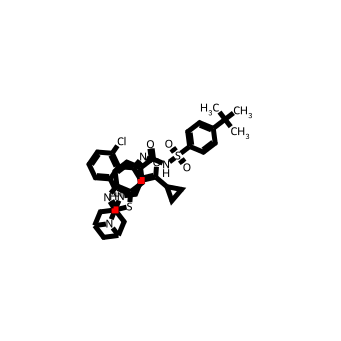 CC(C)(C)c1ccc(S(=O)(=O)NC(=O)c2ccc3nc(N4C5CC(NCc6c(-c7c(Cl)cccc7Cl)noc6C6CC6)CC4C5)sc3c2)cc1